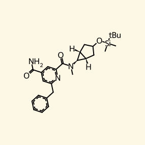 CN(C(=O)c1cc(C(N)=O)cc(Cc2ccccc2)n1)[C@H]1[C@@H]2CC(O[Si](C)(C)C(C)(C)C)C[C@@H]21